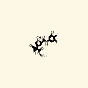 Cn1cc(C2(C(=O)NC(C)(C)C)CC2=O)cc1C(=O)Nc1cc(F)c(F)c(Cl)c1